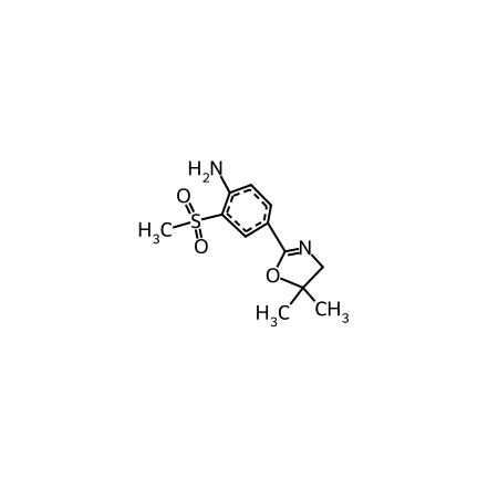 CC1(C)CN=C(c2ccc(N)c(S(C)(=O)=O)c2)O1